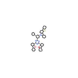 c1ccc(-c2cc(-c3nc(-c4cccc5c4oc4ccccc45)nc(-c4cccc5c4oc4ccccc45)n3)cc(-n3c4ccccc4c4c5sc6ccccc6c5ccc43)c2)cc1